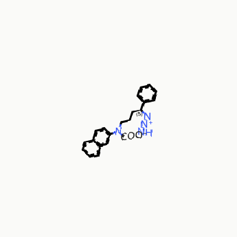 N=[N+]=N[C@@H](CCCN(C(=O)[O-])c1ccc2ccccc2c1)c1ccccc1